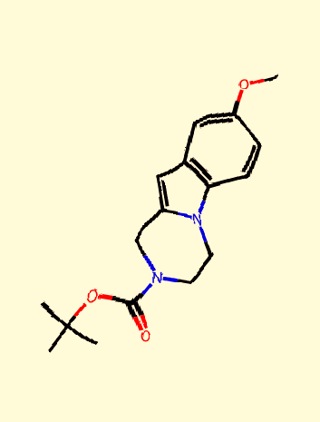 COc1ccc2c(c1)cc1n2CCN(C(=O)OC(C)(C)C)C1